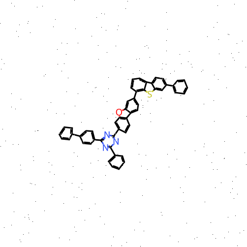 c1ccc(-c2ccc(-c3nc(-c4ccccc4)nc(-c4ccc5c(c4)oc4cc(-c6cccc7c6sc6cc(-c8ccccc8)ccc67)ccc45)n3)cc2)cc1